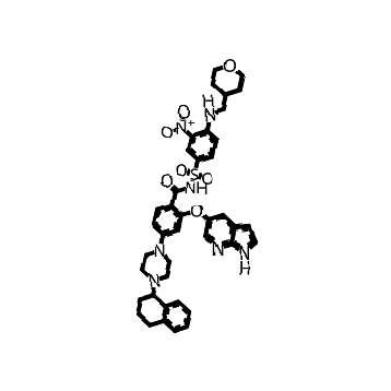 O=C(NS(=O)(=O)c1ccc(NCC2CCOCC2)c([N+](=O)[O-])c1)c1ccc(N2CCN(C3CCCc4ccccc43)CC2)cc1Oc1cnc2[nH]ccc2c1